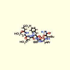 CCCCC(NC(=O)[C@H](CC(C)C)NC(=O)[C@@H](NC(=O)[C@H](CC1CCCCC1)NC(=O)[C@H](CCC(=O)O)NC(=O)[C@H](CC(=O)O)NC(=O)CCC(=O)O)C(C)(C)C)C(=O)C(N)=O